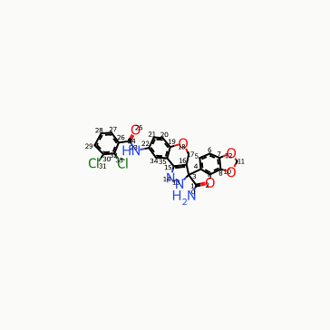 NC(=O)C1(c2ccc3c(c2)OCO3)N=NC2=C1COc1ccc(NC(=O)c3cccc(Cl)c3Cl)cc12